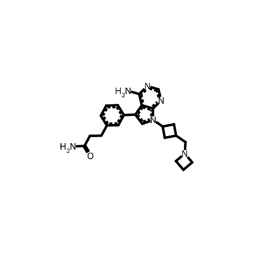 NC(=O)CCc1cccc(-c2cn(C3CC(CN4CCC4)C3)c3ncnc(N)c23)c1